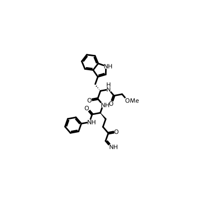 COCC(=O)N[C@@H](Cc1c[nH]c2ccccc12)C(=O)N[C@@H](CCC(=O)C=N)C(=O)Nc1ccccc1